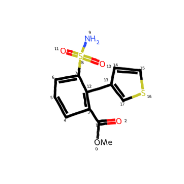 COC(=O)c1cccc(S(N)(=O)=O)c1-c1ccsc1